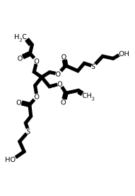 C=CC(=O)OCC(COC(=O)C=C)(COC(=O)CCSCCO)COC(=O)CCSCCO